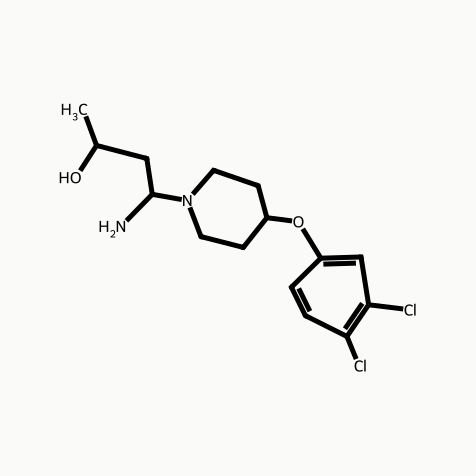 CC(O)CC(N)N1CCC(Oc2ccc(Cl)c(Cl)c2)CC1